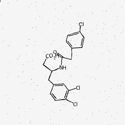 O=C(O)CC(Cc1ccc(Cl)c(Cl)c1)NC(=O)Cc1ccc(Cl)cc1